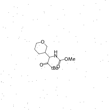 COC(=O)NC(C(=O)C(C)(C)C)C1CCCOC1